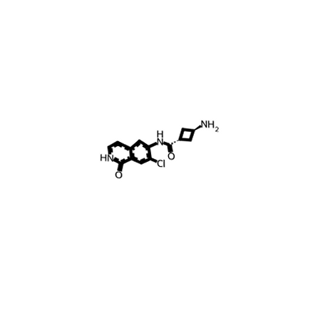 N[C@H]1C[C@H](C(=O)Nc2cc3cc[nH]c(=O)c3cc2Cl)C1